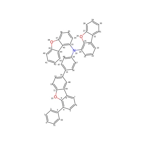 c1ccc(-c2cccc3c2oc2ccc(-c4ccc(N(c5cccc6c5oc5ccccc56)c5cccc6oc7ccccc7c56)cc4)cc23)cc1